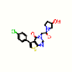 O=C(Cn1cnc2scc(-c3ccc(Cl)cc3)c2c1=O)N1CCC(O)C1